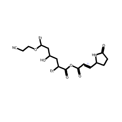 CCC(CC(O)CC(CC)C(=O)OC(=O)/C=C/C1CCC(=O)N1)OCCC#N